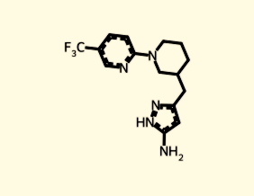 Nc1cc(CC2CCCN(c3ccc(C(F)(F)F)cn3)C2)n[nH]1